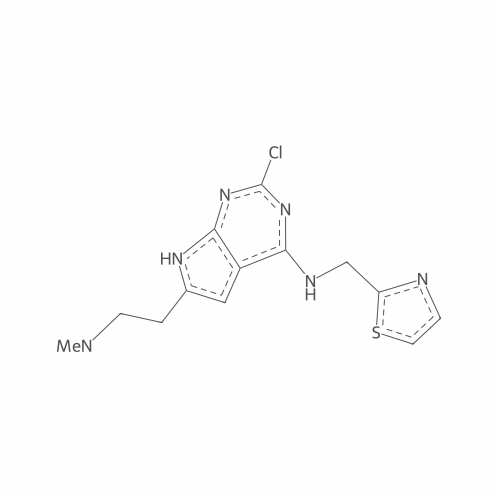 CNCCc1cc2c(NCc3nccs3)nc(Cl)nc2[nH]1